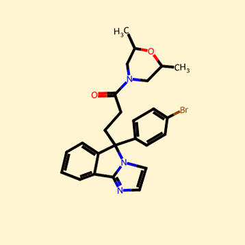 CC1CN(C(=O)CCC2(c3ccc(Br)cc3)c3ccccc3-c3nccn32)CC(C)O1